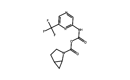 O=C(Nc1cncc(C(F)(F)F)n1)OC(=O)N1CCC2CC21